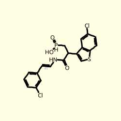 O=C(N/C=C/c1cccc(Cl)c1)C(C[PH](=O)O)c1csc2ccc(Cl)cc12